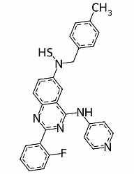 Cc1ccc(CN(S)c2ccc3nc(-c4ccccc4F)nc(Nc4ccncc4)c3c2)cc1